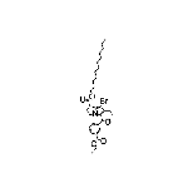 CCCCCCCCCCCCOC(=O)C1CCn2c(C(=O)c3cccc(C(=O)OCC)c3)c(CC)c(Br)c21